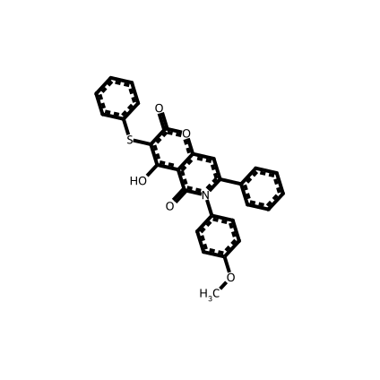 COc1ccc(-n2c(-c3ccccc3)cc3oc(=O)c(Sc4ccccc4)c(O)c3c2=O)cc1